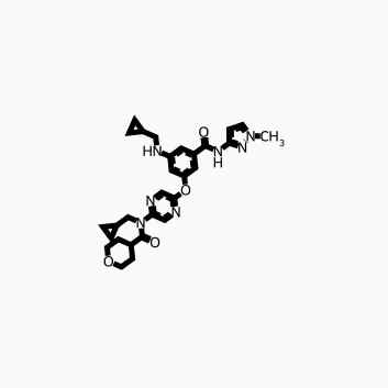 Cn1ccc(NC(=O)c2cc(NCC3CC3)cc(Oc3cnc(N(CC4CC4)C(=O)C4CCOCC4)cn3)c2)n1